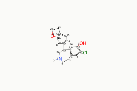 CN1CCc2cc(Cl)c(O)cc2C(c2ccc3c(c2)OCC3)C1